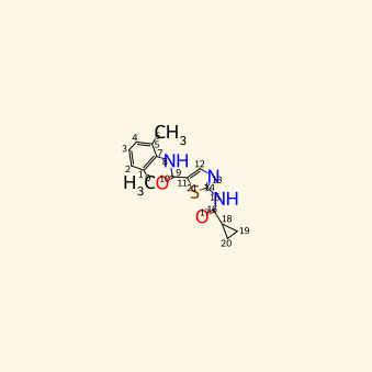 Cc1cccc(C)c1NC(=O)c1cnc(NC(=O)C2CC2)s1